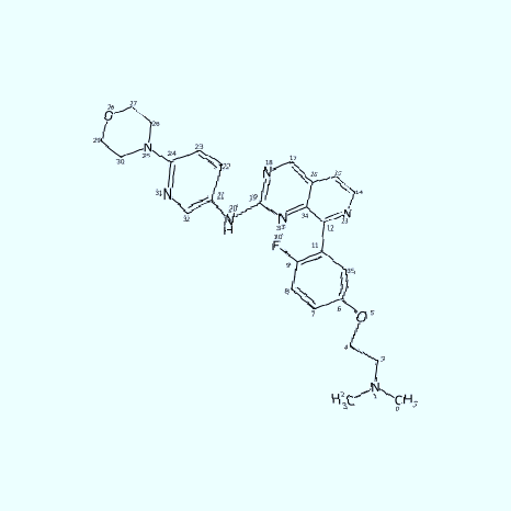 CN(C)CCOc1ccc(F)c(-c2nccc3cnc(Nc4ccc(N5CCOCC5)nc4)nc23)c1